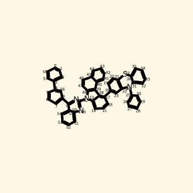 c1ccc(-c2cccc(-c3nc(-n4c5cccc(-c6ccc7c(c6)N(c6ccccc6)c6ccccc6S7)c5c5c6ccccc6ccc54)nc4ccccc34)c2)cc1